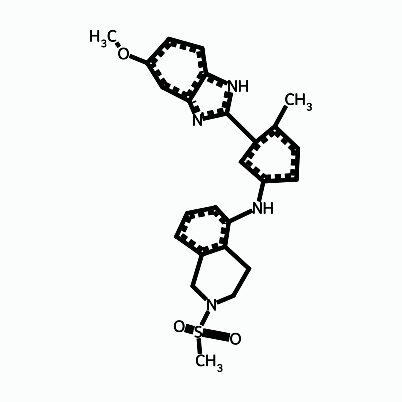 COc1ccc2[nH]c(-c3cc(Nc4cccc5c4CCN(S(C)(=O)=O)C5)ccc3C)nc2c1